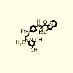 CCN(CCN(C)c1cc(C)cc(C)n1)c1ccc(NC(=O)C(=O)c2c(C(C)(C)C)cc3ccccn23)cc1